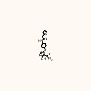 NC(=O)c1c(O)ncn1Cc1ccc(NC(=O)Cc2cccs2)cc1